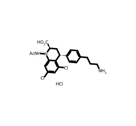 CC(=O)NN1c2cc(Cl)cc(Cl)c2[C@@H](c2ccc(CCCN)cc2)C[C@@H]1C(=O)O.Cl